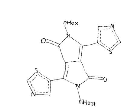 CCCCCCCN1C(=O)C2=C(c3cncs3)N(CCCCCC)C(=O)C2=C1c1cncs1